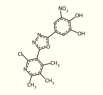 Cc1nc(Cl)c(-c2nnc(-c3cc(O)c(O)c([N+](=O)[O-])c3)o2)c(C)c1C